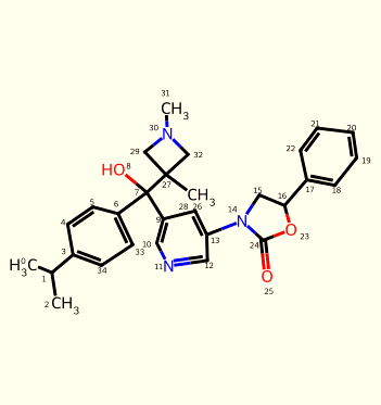 CC(C)c1ccc(C(O)(c2cncc(N3CC(c4ccccc4)OC3=O)c2)C2(C)CN(C)C2)cc1